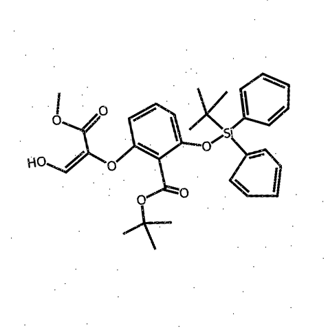 COC(=O)C(=CO)Oc1cccc(O[Si](c2ccccc2)(c2ccccc2)C(C)(C)C)c1C(=O)OC(C)(C)C